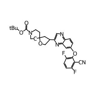 CC(C)(C)OC(=O)N1CCC2(CC1)CC(c1cnc3ccc(Oc4c(F)ccc(F)c4C#N)cc3n1)CO2